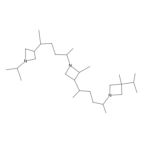 CC(CCC(C)N1CC(C(C)CCC(C)N2CC(C)(C(C)C)C2)C1C)C1CN(C(C)C)C1